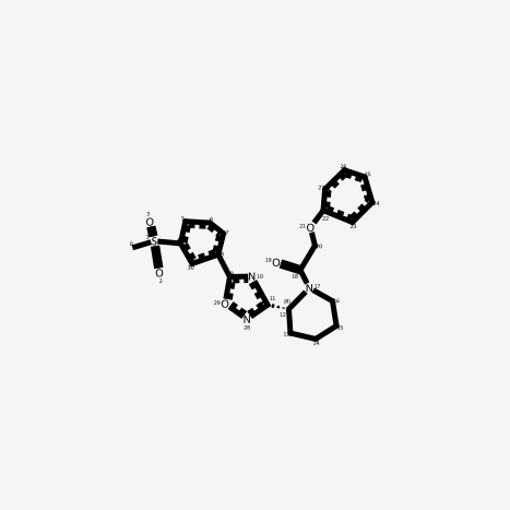 CS(=O)(=O)c1cccc(-c2nc([C@H]3CCCCN3C(=O)COc3ccccc3)no2)c1